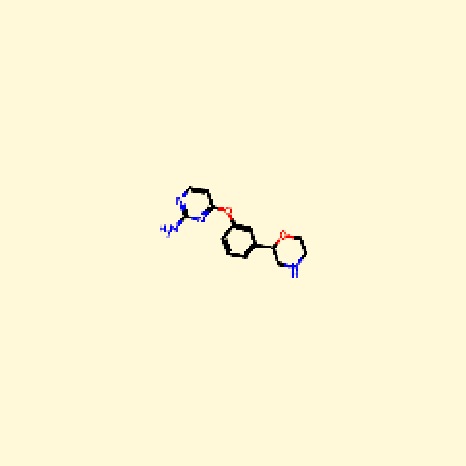 Nc1nccc(Oc2cccc([C@@H]3CNCCO3)c2)n1